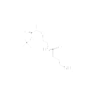 CC(OCCNC(=O)CCCN)C(=O)OC(C)(C)C